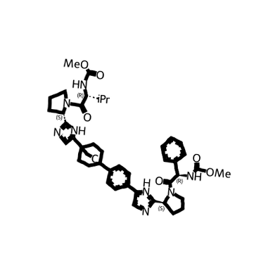 COC(=O)N[C@@H](C(=O)N1CCC[C@H]1c1ncc(-c2ccc(C34CCC(c5cnc([C@@H]6CCCN6C(=O)[C@H](NC(=O)OC)C(C)C)[nH]5)(CC3)CC4)cc2)[nH]1)c1ccccc1